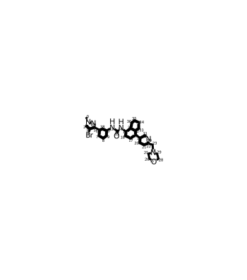 Cn1cc(Br)c(-c2cccc(NC(=O)Nc3ccc(-c4ccc(CN5CCOCC5)nc4)c4ccccc34)c2)n1